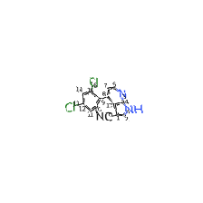 N#Cc1c[nH]c2nccc(-c3ccc(Cl)cc3Cl)c12